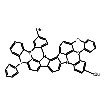 CC(C)(C)c1ccc2c(c1)B1c3ccccc3Oc3ccc4c5c(ccc6c7ccc8c9c7n(c65)-c5ccc(C(C)(C)C)cc5B9c5ccccc5N8c5ccccc5)n-2c4c31